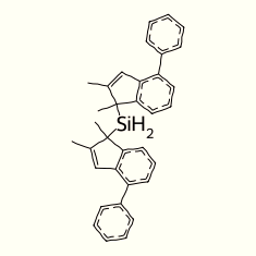 CC1=Cc2c(-c3ccccc3)cccc2C1(C)[SiH2]C1(C)C(C)=Cc2c(-c3ccccc3)cccc21